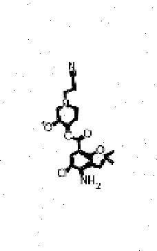 COC1CN(CCC#N)CCC1OC(=O)c1cc(Cl)c(N)c2c1OC(C)(C)C2